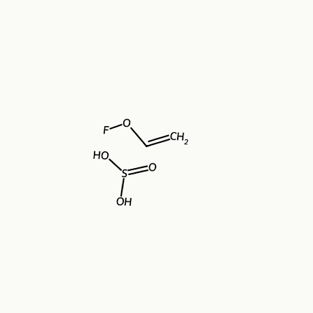 C=COF.O=S(O)O